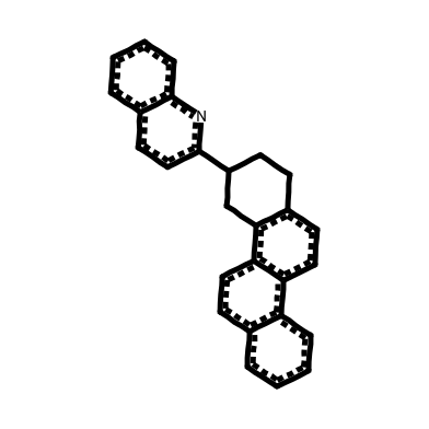 c1ccc2nc(C3CCc4ccc5c(ccc6ccccc65)c4C3)ccc2c1